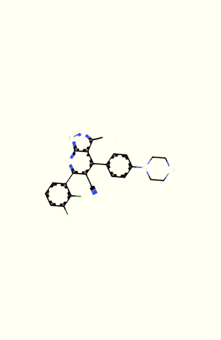 Cc1n[nH]c2nc(-c3cccc(Cl)c3Cl)c(C#N)c(-c3ccc(N4CCNCC4)cc3)c12